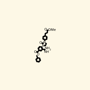 COC(=O)CCc1ccc(N2CCN(c3ccc(C(=O)OCc4ccccc4)cc3C(=N)N)C2=O)cc1